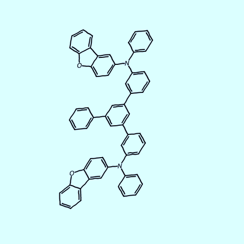 c1ccc(-c2cc(-c3cccc(N(c4ccccc4)c4ccc5oc6ccccc6c5c4)c3)cc(-c3cccc(N(c4ccccc4)c4ccc5oc6ccccc6c5c4)c3)c2)cc1